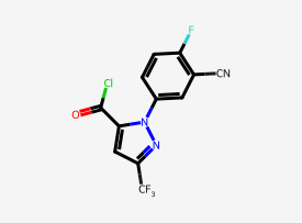 N#Cc1cc(-n2nc(C(F)(F)F)cc2C(=O)Cl)ccc1F